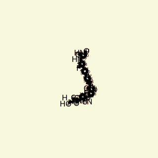 CN(CCO)S(=O)(=O)Nc1ccc(F)c(Oc2ccc3ncn(C4CC5(CCN(C6CCC(c7ccc(NC8CCC(=O)NC8=O)cc7F)CC6)CC5)C4)c(=O)c3c2)c1C#N